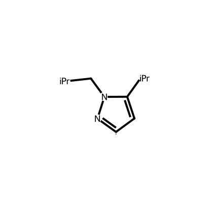 CC(C)Cn1n[c]cc1C(C)C